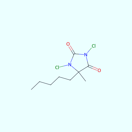 CCCCCC1(C)C(=O)N(Cl)C(=O)N1Cl